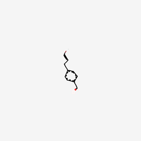 O=Cc1ccc(C/C=C/Br)cc1